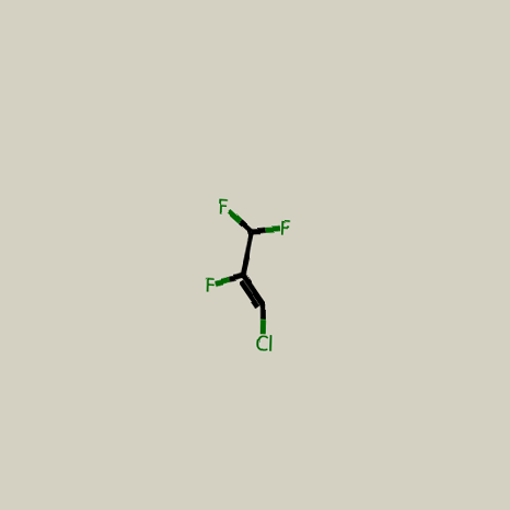 FC(=CCl)C(F)F